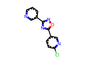 Clc1ccc(-c2nc(-c3cccnc3)no2)cn1